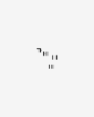 I.I.I.[Tl]